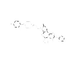 Nc1nc2c(sc(=O)n2CCN2CCN(c3ccc([S+]=O)cc3F)CC2)c2nc(-c3ccco3)nn12